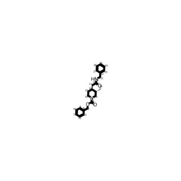 C[C@@H]1CN(C(=O)OCc2ccccc2)CC[C@H]1CC(=O)NCc1ccccc1